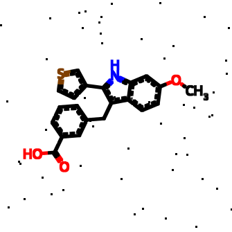 COc1ccc2c(Cc3cccc(C(=O)O)c3)c(-c3ccsc3)[nH]c2c1